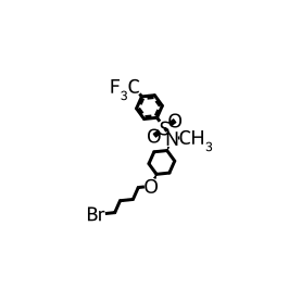 CN([C@H]1CC[C@H](OCCCCBr)CC1)S(=O)(=O)c1ccc(C(F)(F)F)cc1